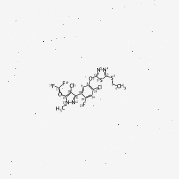 CCSc1nnc(Oc2cc(-c3nn(C)c(OC(F)F)c3Cl)c(F)cc2Cl)s1